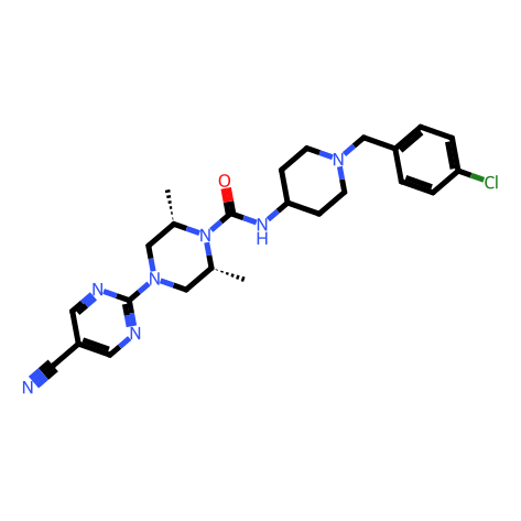 C[C@@H]1CN(c2ncc(C#N)cn2)C[C@H](C)N1C(=O)NC1CCN(Cc2ccc(Cl)cc2)CC1